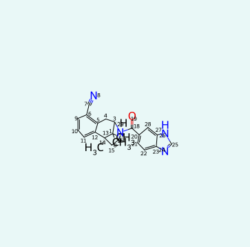 CC1(C)[C@H]2Cc3c(C#N)cccc3[C@]1(C)CCN2C(=O)c1ccc2nc[nH]c2c1